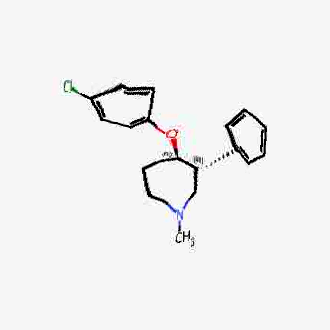 CN1CC[C@@H](Oc2ccc(Cl)cc2)[C@H](c2ccccc2)C1